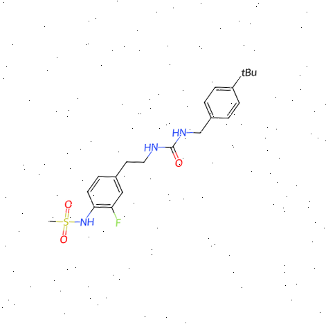 CC(C)(C)c1ccc(CNC(=O)NCCc2ccc(NS(C)(=O)=O)c(F)c2)cc1